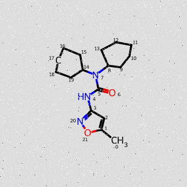 Cc1cc(NC(=O)N(C2CCCCC2)C2CCCCC2)no1